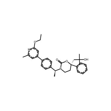 CCOc1cc(-c2ccc([C@H](C)N3CC[C@](CC(C)(C)O)(c4ccccc4)OC3=O)cc2)cc(C)n1